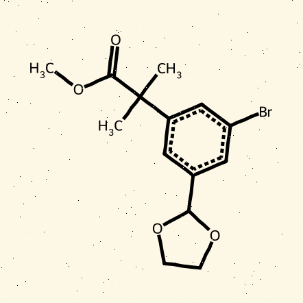 COC(=O)C(C)(C)c1cc(Br)cc(C2OCCO2)c1